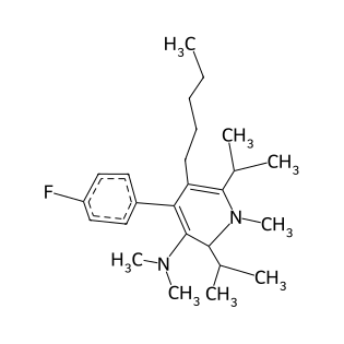 CCCCCC1=C(C(C)C)N(C)C(C(C)C)C(N(C)C)=C1c1ccc(F)cc1